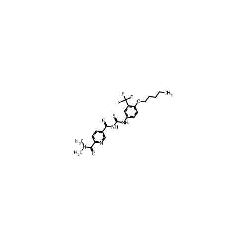 CCCCCOc1ccc(NC(=S)NC(=O)c2ccc(C(=O)N(C)C)nc2)cc1C(F)(F)F